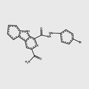 NC(=O)c1cc2c([nH]c3ccccc32)c(C(=O)NNc2ccc(Br)cc2)n1